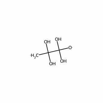 [CH2]C(O)(O)C([O])(O)O